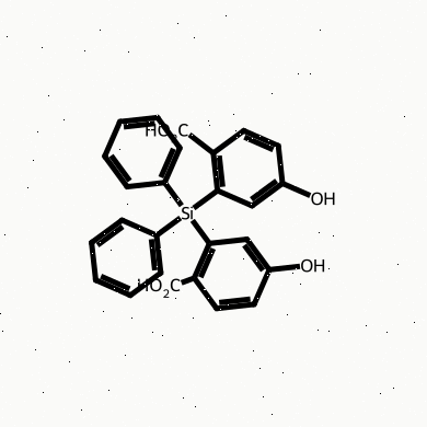 O=C(O)c1ccc(O)cc1[Si](c1ccccc1)(c1ccccc1)c1cc(O)ccc1C(=O)O